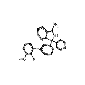 COc1cccc(-c2cccc(C3(c4ccncc4)NC(N)c4cccnc43)c2)c1F